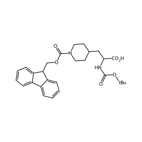 CC(C)(C)OC(=O)NC(CC1CCN(C(=O)OCC2c3ccccc3-c3ccccc32)CC1)C(=O)O